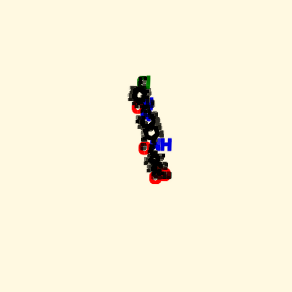 O=C(NC1CCC2(CC1)CCN(c1nc3cc(Cl)ccc3o1)CC2)C1CC2(C1)CS(=O)(=O)C2